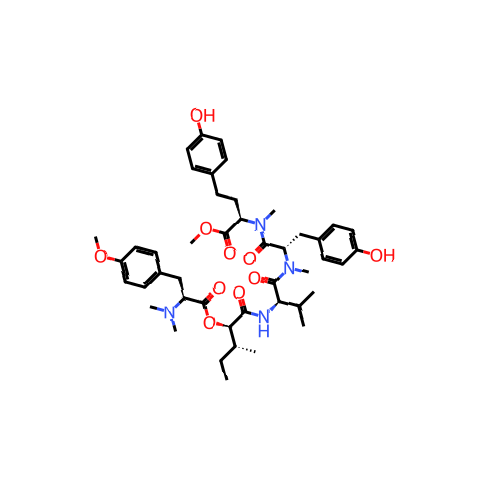 CC[C@@H](C)[C@@H](OC(=O)[C@H](Cc1ccc(OC)cc1)N(C)C)C(=O)N[C@@H](C(=O)N(C)[C@@H](Cc1ccc(O)cc1)C(=O)N(C)[C@H](CCc1ccc(O)cc1)C(=O)OC)C(C)C